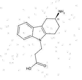 N[C@H]1CCc2c(c3ccccc3n2CCC(=O)O)C1